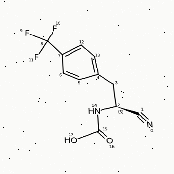 N#C[C@H](Cc1ccc(C(F)(F)F)cc1)NC(=O)O